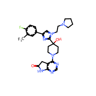 O=C1Cc2c(ncnc2N2CCC(O)(c3nc(-c4ccc(F)c(C(F)(F)F)c4)cn3CCN3CCCC3)CC2)N1